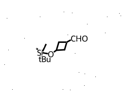 CC(C)(C)[Si](C)(C)OC1CC(C=O)C1